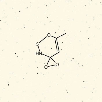 CC1=CC2(NSO1)OO2